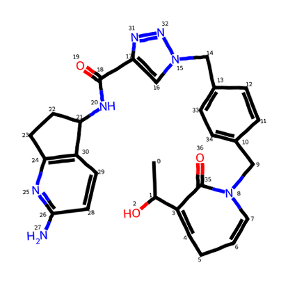 CC(O)C1=CCC=CN(Cc2ccc(Cn3cc(C(=O)NC4CCc5nc(N)ccc54)nn3)cc2)C1=O